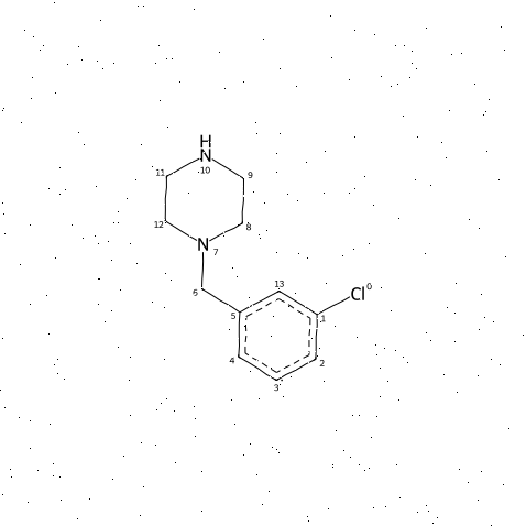 Clc1c[c]cc(CN2CCNCC2)c1